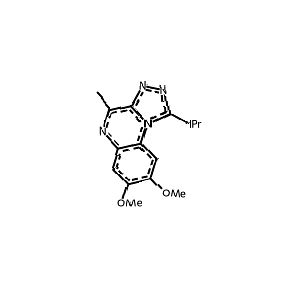 COc1cc2nc(C)c3nnc(C(C)C)n3c2cc1OC